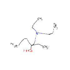 [CH2]C(O)(CC)N(CC)CC